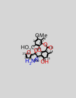 COc1cc(C(=O)O)c2c(c1C)OC(=O)c1c(C)cc(O)c(C(=NN)C(=O)c3ccco3)c1O2